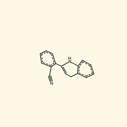 N#Cc1ccccc1C1=CCc2ccccc2N1